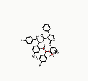 CC(C)(C)[Si](C)(C)O[C@@H](CC[C@@H](C(=O)N1C(=O)OC[C@@H]1c1ccccc1)[C@H](Nc1ccc(F)cc1)c1ccc([N+](=O)[O-])cc1OCc1ccccc1)c1ccc(F)cc1